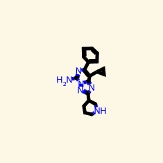 Nc1nc(-c2ccccc2)c(C2CC2)c2nc(C3CCCNC3)nn12